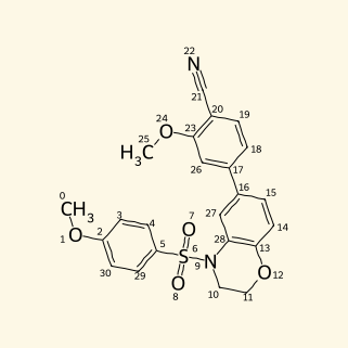 COc1ccc(S(=O)(=O)N2CCOc3ccc(-c4ccc(C#N)c(OC)c4)cc32)cc1